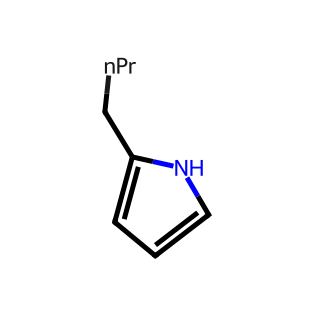 CCCCc1ccc[nH]1